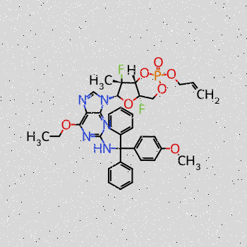 C=CCOP1(=O)OC[C@@]2(F)O[C@@H](n3cnc4c(OCC)nc(NC(c5ccccc5)(c5ccccc5)c5ccc(OC)cc5)nc43)[C@](C)(F)[C@@H]2O1